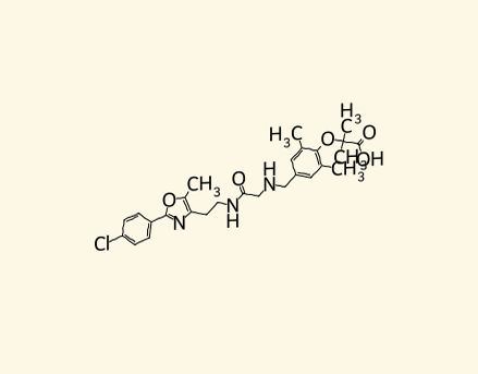 Cc1cc(CNCC(=O)NCCc2nc(-c3ccc(Cl)cc3)oc2C)cc(C)c1OC(C)(C)C(=O)O